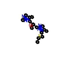 c1ccc(-c2ccc3sc4c(-c5ccc6c(c5)c5c7ccccc7ccc5n6-c5nc6ccc(-c7ccc(-c8ccc9c(c8)c8c%10ccccc%10ccc8n9-c8nc9ccccc9c9nc%10ccccc%10n89)c8oc9ccccc9c78)cc6c6nc7ccccc7n56)cccc4c3c2)cc1